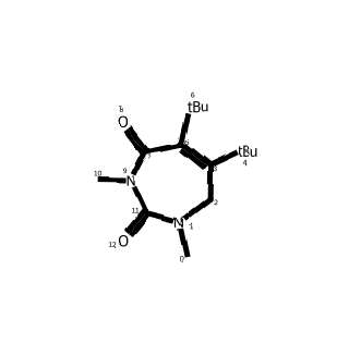 CN1CC(C(C)(C)C)=C(C(C)(C)C)C(=O)N(C)C1=O